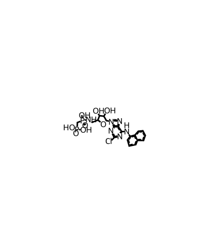 O=P(O)(O)CP(=O)(O)NCC1OC(n2cnc3c(Nc4cccc5ccccc45)nc(Cl)nc32)C(O)C1O